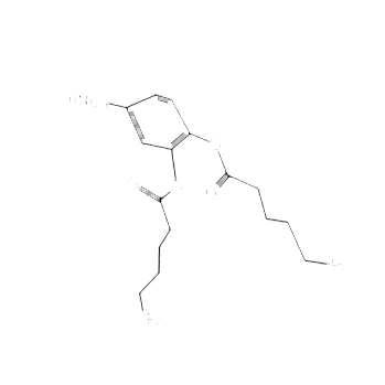 CCCCCCCCCc1ccc(OC(=O)CCCCC(C)C)c(OC(=O)CCCCC(C)C)c1